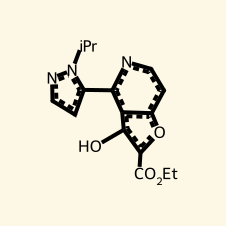 CCOC(=O)c1oc2ccnc(-c3ccnn3C(C)C)c2c1O